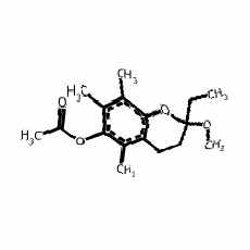 CCC1(OC)CCc2c(C)c(OC(C)=O)c(C)c(C)c2O1